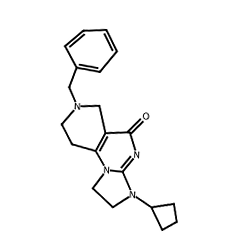 O=c1nc2n(c3c1CN(Cc1ccccc1)CC3)CCN2C1CCC1